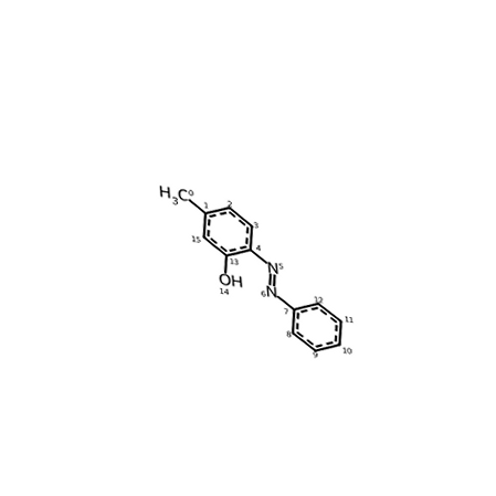 Cc1ccc(/N=N/c2ccccc2)c(O)c1